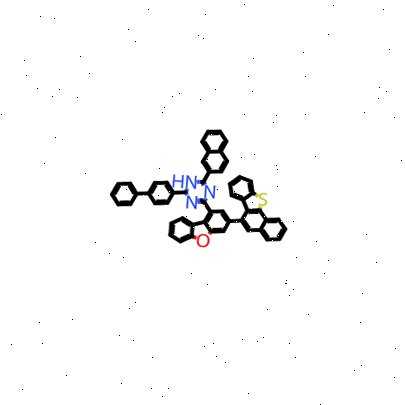 c1ccc(-c2ccc(C3N=C(c4cc(-c5cc6ccccc6c6sc7ccccc7c56)cc5oc6ccccc6c45)N=C(c4ccc5ccccc5c4)N3)cc2)cc1